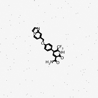 NC(=O)c1cc(-c2ccc(OCc3ccn4ccnc4c3)cc2)c(C(F)(F)F)[nH]c1=O